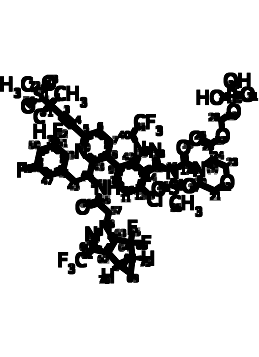 CC(C)(C#Cc1ccc(-c2ccc(Cl)c3c(N(C(=O)N4CCOC[C@H]4C(=O)OCOP(=O)(O)O)S(C)(=O)=O)nn(CC(F)(F)F)c23)c([C@H](Cc2cc(F)cc(F)c2)NC(=O)Cn2nc(C(F)(F)F)c3c2C(F)(F)[C@@H]2C[C@H]32)n1)S(C)(=O)=O